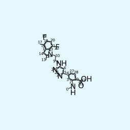 CNc1cc(-c2cc(NCCn3c(C)cc4c(C)c(F)cc(F)c43)ncn2)ccc1C(=O)O